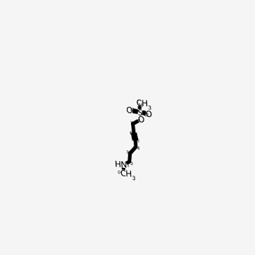 CNCCCC#CCOS(C)(=O)=O